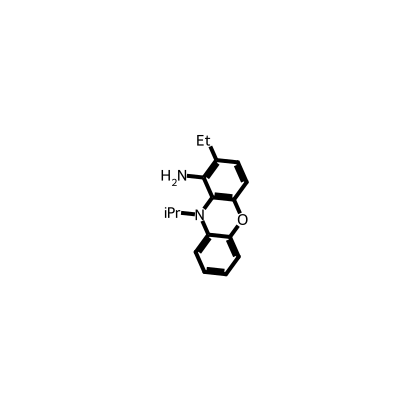 CCc1ccc2c(c1N)N(C(C)C)c1ccccc1O2